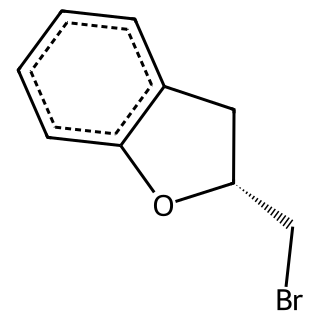 BrC[C@H]1Cc2ccccc2O1